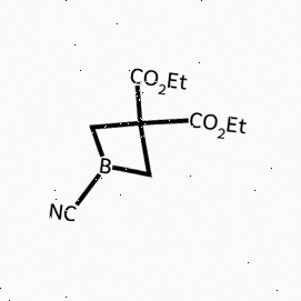 CCOC(=O)C1(C(=O)OCC)CB(C#N)C1